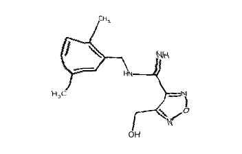 Cc1ccc(C)c(CNC(=N)c2nonc2CO)c1